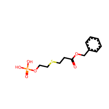 O=C(CCSCCOP(=O)(O)O)OCc1ccccc1